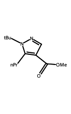 CCCc1c(C(=O)OC)cnn1C(C)(C)C